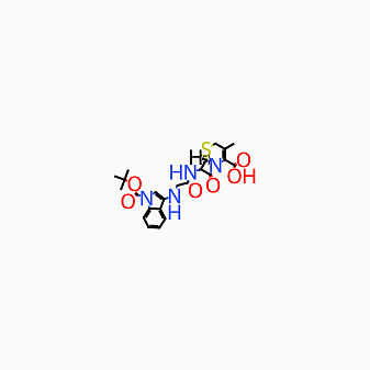 CC1=C(C(=O)O)N2C(=O)C(NC(=O)CNc3cn(C(=O)OC(C)(C)C)c4ccccc34)[C@@H]2SC1